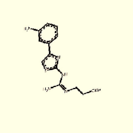 COCC/N=C(/N)Nc1nc(-c2cccc(N)c2)cs1